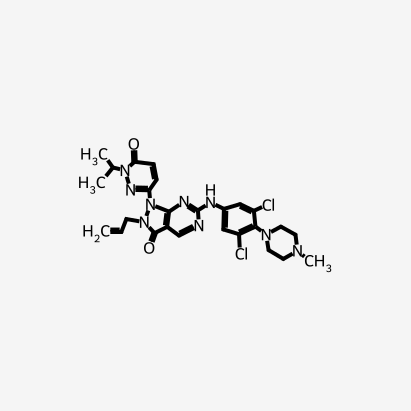 C=CCn1c(=O)c2cnc(Nc3cc(Cl)c(N4CCN(C)CC4)c(Cl)c3)nc2n1-c1ccc(=O)n(C(C)C)n1